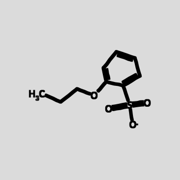 CCCOc1ccccc1S([O])(=O)=O